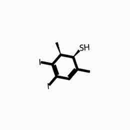 CC1=CC(I)=C(I)[C@@H](C)[C@H]1S